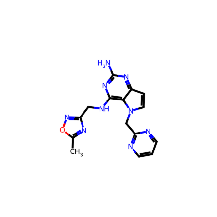 Cc1nc(CNc2nc(N)nc3ccn(Cc4ncccn4)c23)no1